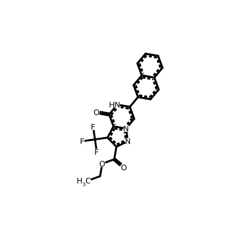 CCOC(=O)c1nn2cc(-c3ccc4ccccc4c3)[nH]c(=O)c2c1C(F)(F)F